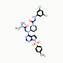 Cc1ccc(S(=O)(=O)n2ccc3c(N(CC(=O)N(C)C)[C@@H]4CCCN(C(=O)CNc5cc(Cl)cc(Cl)c5)C4)ncnc32)cc1